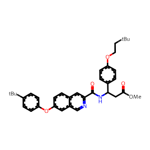 COC(=O)CC(NC(=O)c1cc2ccc(Oc3ccc(C(C)(C)C)cc3)cc2cn1)c1ccc(OCCC(C)(C)C)cc1